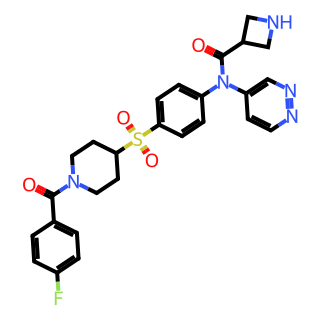 O=C(c1ccc(F)cc1)N1CCC(S(=O)(=O)c2ccc(N(C(=O)C3CNC3)c3ccnnc3)cc2)CC1